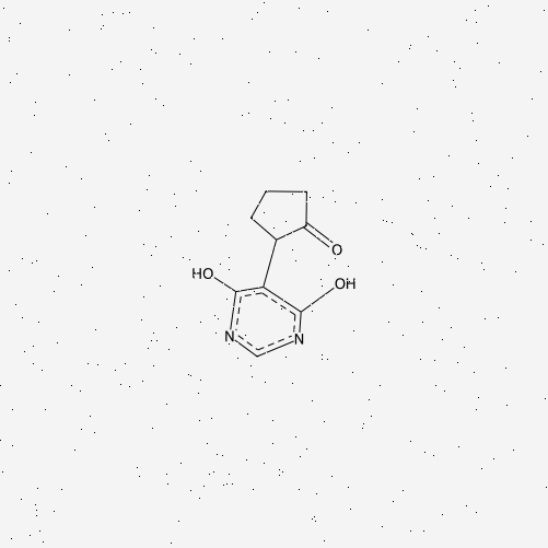 O=C1CCCC1c1c(O)ncnc1O